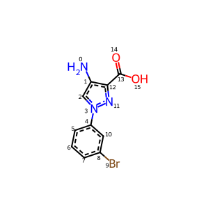 Nc1cn(-c2cccc(Br)c2)nc1C(=O)O